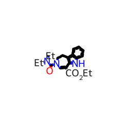 CCOC(=O)C1=CN(C(=O)N(CC)CC)CCc2c1[nH]c1ccccc21